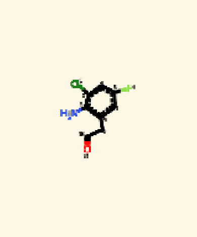 Nc1c(Cl)cc(F)cc1CC=O